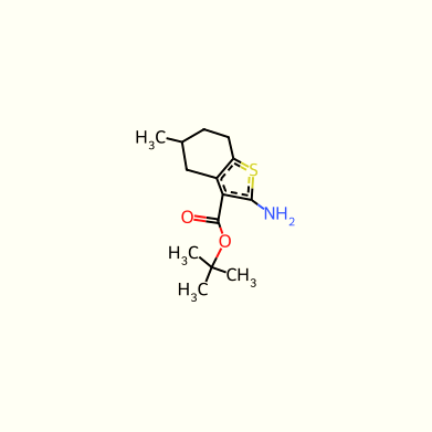 CC1CCc2sc(N)c(C(=O)OC(C)(C)C)c2C1